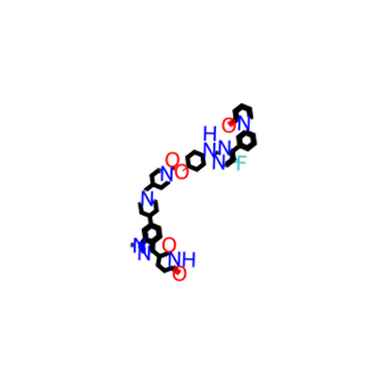 Cn1nc(C2CCC(=O)NC2=O)c2ccc(C3CCN(CC4CCN(C(=O)O[C@H]5CC[C@H](Nc6ncc(F)c(-c7cccc(-n8ccccc8=O)c7)n6)CC5)CC4)CC3)cc21